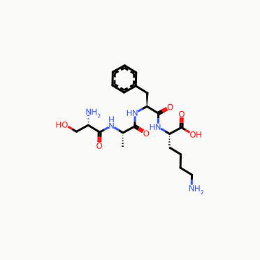 C[C@H](NC(=O)[C@@H](N)CO)C(=O)N[C@@H](Cc1ccccc1)C(=O)N[C@@H](CCCCN)C(=O)O